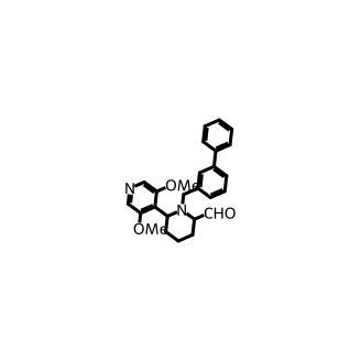 COc1cncc(OC)c1C1CCCC(C=O)N1Cc1cccc(-c2ccccc2)c1